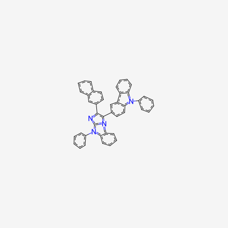 c1ccc(-n2c3ccccc3c3cc(-c4c(-c5ccc6ccccc6c5)nc5n(-c6ccccc6)c6ccccc6n45)ccc32)cc1